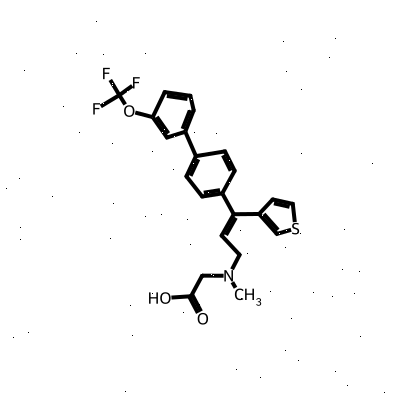 CN(CC=C(c1ccc(-c2cccc(OC(F)(F)F)c2)cc1)c1ccsc1)CC(=O)O